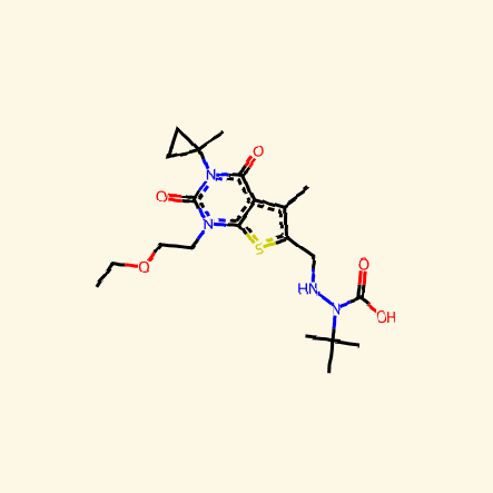 CCOCCn1c(=O)n(C2(C)CC2)c(=O)c2c(C)c(CNN(C(=O)O)C(C)(C)C)sc21